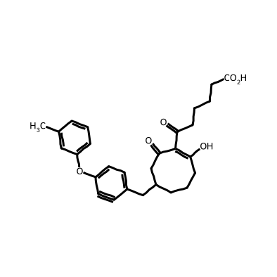 Cc1cccc(Oc2c#cc(CC3CCC/C(O)=C(/C(=O)CCCCC(=O)O)C(=O)C3)cc2)c1